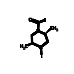 C[C@@H]1CN(I)[C@@H](C)CN1C(=O)I